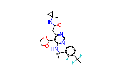 C[C@@H](Nc1ncnc(CC(=O)NC2(C)CC2)c1C1OCCO1)c1cccc(C(C)(F)F)c1F